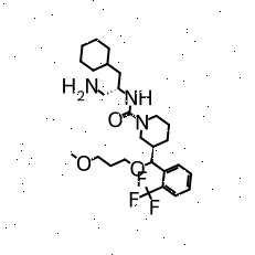 COCCCOC(c1ccccc1C(F)(F)F)[C@@H]1CCCN(C(=O)N[C@H](CN)CC2CCCCC2)C1